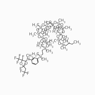 CCCC[Si](C)(C)O[Si](C)(C)O[Si](C)(C)O[Si](C)(C)O[Si](C)(C)O[Si](C)(C)O[Si](C)(C)O[Si](C)(C)O[Si](C)(C)O[Si](C)(C)O[Si](C)(C)O[Si](C)(C)CC[Si](C)(C)c1cccc(N(C)C(=O)C(F)(OC(F)(F)CC(F)(F)F)C(F)(F)F)c1